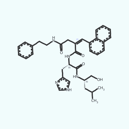 CC(C)C[C@@H](CO)NC(=O)[C@H](Cc1c[nH]cn1)NC(=O)/C(=C\c1cccc2ccccc12)CC(=O)NCCc1ccccc1